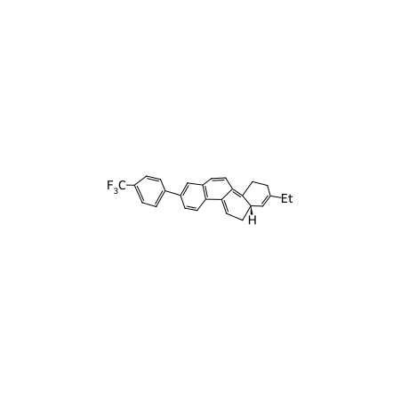 CCC1=C[C@@H]2CC=c3c(ccc4cc(-c5ccc(C(F)(F)F)cc5)ccc34)=C2CC1